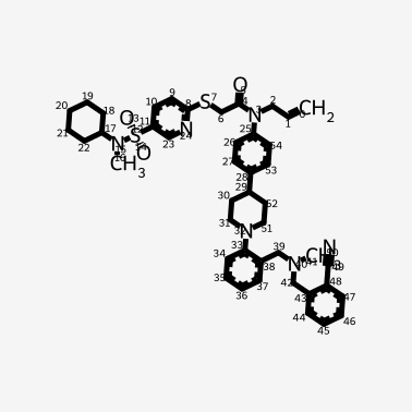 C=CCN(C(=O)CSc1ccc(S(=O)(=O)N(C)C2CCCCC2)cn1)c1ccc(C2CCN(c3ccccc3CN(C)Cc3ccccc3C#N)CC2)cc1